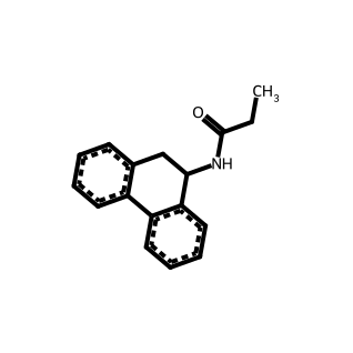 CCC(=O)NC1Cc2ccccc2-c2ccccc21